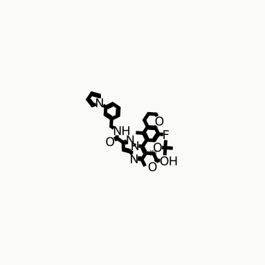 Cc1nc2cc(C(=O)NCc3cccc(-n4cccc4)c3)nn2c(-c2cc(F)c3c(c2C)CCCO3)c1[C@H](OC(C)(C)C)C(=O)O